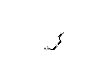 NC=C=C[C]=O